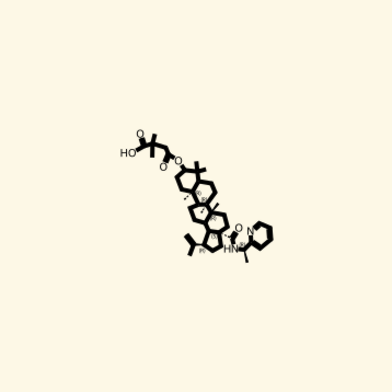 C=C(C)[C@@H]1CC[C@]2(C(=O)N[C@H](C)c3ccccn3)CC[C@]3(C)C(CCC4[C@@]5(C)CCC(OC(=O)CC(C)(C)C(=O)O)C(C)(C)C5CC[C@]43C)C12